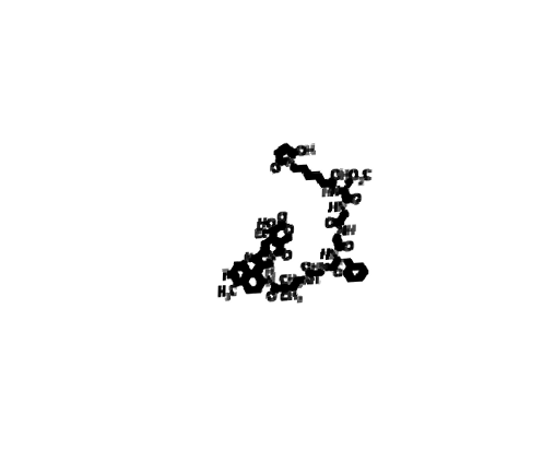 CC[C@@]1(O)C(=O)OCc2c1cc1n(c2=O)Cc2c-1nc1cc(F)c(C)c3c1c2[C@@H](NC(=O)C(C)(C)CCNC(=O)CNC(=O)[C@H](Cc1ccccc1)NC(=O)CNC(=O)CNC(=O)[C@H](CC(=O)O)NC(=O)CCCCCN1C(=O)C=CC1O)CC3